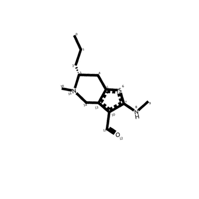 CCC[C@@H]1Cc2sc(NC)c(C=O)c2CN1C